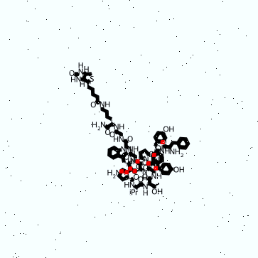 CC(C)[C@H](NC(=O)[C@@H]1CCCN1C(=O)[C@H](Cc1c[nH]c2ccccc12)NC(=O)[C@@H]1CCCN1C(=O)[C@H](Cc1ccc(O)cc1)NC(=O)[C@H](Cc1ccc(O)cc1)NC(=O)[C@@H](N)Cc1ccccc1)C(=O)N[C@H](C(=O)N[C@@H](Cc1ccc(O)cc1)C(=O)N[C@@H](CCCCN)C(=O)NCC(=O)NCC(=O)NCC(=O)N[C@@H](CCCCNC(=O)CCCC[C@@H]1SC[C@@H]2NC(=O)N[C@@H]21)C(N)=O)[C@@H](C)O